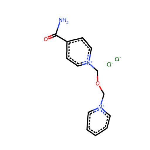 NC(=O)c1cc[n+](COC[n+]2ccccc2)cc1.[Cl-].[Cl-]